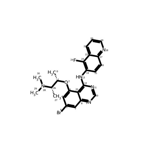 C[C@H](Oc1cc(Br)cc2ncnc(Nc3ccc4ncccc4c3F)c12)[C@H](C)N(C)C